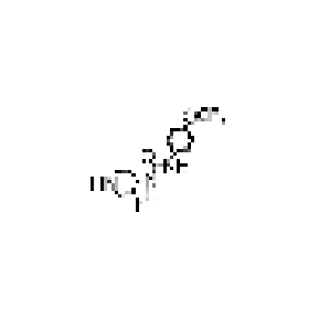 O=C(Nc1ccc(OC(F)(F)F)cc1)N[C@H]1CCNC[C@H]1F